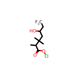 CC(C(=O)OCl)C(C)(C)CC(O)CC(F)(F)F